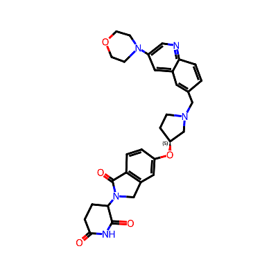 O=C1CCC(N2Cc3cc(O[C@H]4CCN(Cc5ccc6ncc(N7CCOCC7)cc6c5)C4)ccc3C2=O)C(=O)N1